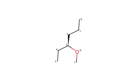 CCC[C@H](CC)OC